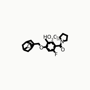 Cc1cc(C(=O)N2CCC[C@H]2C(=O)O)c(F)cc1OCC12CC3CC(CC1C3)C2